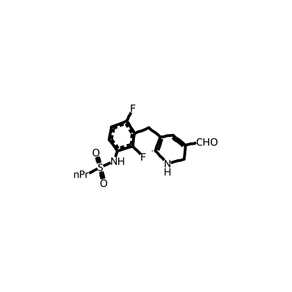 CCCS(=O)(=O)Nc1ccc(F)c(CC2=[C]NCC(C=O)=C2)c1F